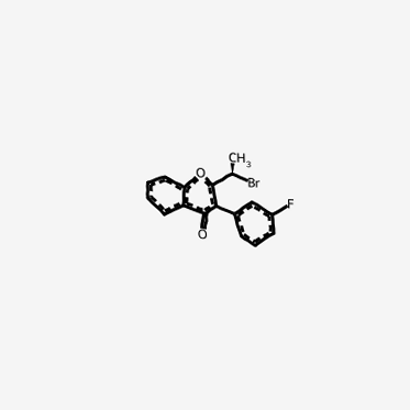 C[C@@H](Br)c1oc2ccccc2c(=O)c1-c1cccc(F)c1